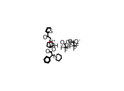 O=C(C[N+]12CCC(CC1)[C@@H](OC(=O)C(c1ccccc1)N1CCCCC1)C2)c1cccs1.O=C(O)C(F)(F)F.O=C([O-])C(F)(F)F